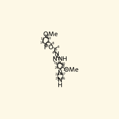 C=N/C(=N\C=C(/C)OCc1cc(OC)ccc1F)Nc1ccc(N2CCNCC2)c(OC)c1